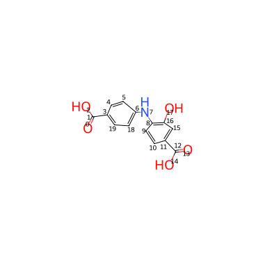 O=C(O)c1ccc(Nc2ccc(C(=O)O)cc2O)cc1